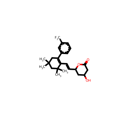 CC1(C)CC(c2cccc(C(F)(F)F)c2)=C(C=CC2CC(O)CC(=O)O2)C(C)(C)C1